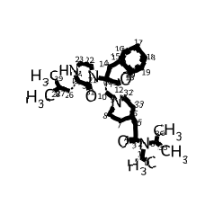 CCN(C(=O)CC1CCN(C[C@@](C=O)(Cc2ccccc2)N2CCN[C@@H](CC(C)C)C2=O)CC1)C(C)C